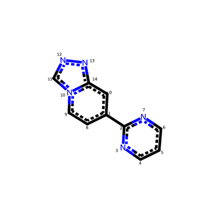 [c]1c(-c2ncccn2)ccn2cnnc12